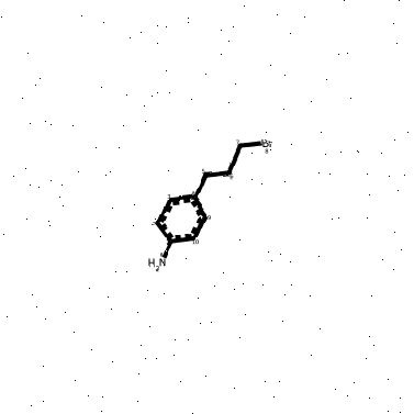 Nc1ccc(CCCBr)cc1